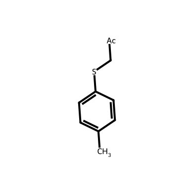 CC(=O)CSc1ccc(C)cc1